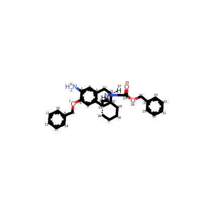 Nc1cc2c(cc1OCc1ccccc1)[C@]13CCCC[C@@H]1[C@H](C2)N(C(=O)OCc1ccccc1)CC3